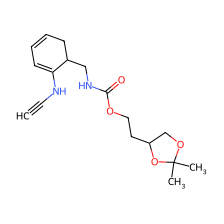 C#CNC1=CC=CCC1CNC(=O)OCCC1COC(C)(C)O1